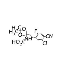 CC1(C)OCC(CCc2cc(Cl)c(C#N)cc2F)(NC(=O)O)CO1